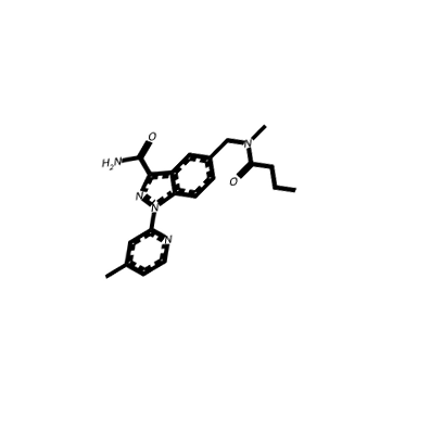 CCCC(=O)N(C)Cc1ccc2c(c1)c(C(N)=O)nn2-c1cc(C)ccn1